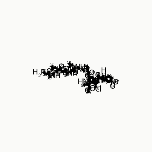 CCN(CCNN[C@@H](CC(C)C)C(=O)CN[C@@H](C)C(=O)CC(=O)[C@H](CC(C)C)NCN[C@@H](C)C(=O)CP)C(=O)Oc1cc2c(c3c(C(=O)OC)c(C)[nH]c13)[C@H](CCl)CN2C(=O)c1cc2cc([N+](=O)[O-])ccc2[nH]1